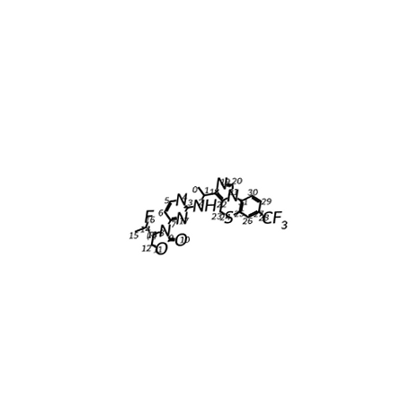 CC(Nc1nccc(N2C(=O)OC[C@@H]2C(C)F)n1)c1ncn2c1CSc1cc(C(F)(F)F)ccc1-2